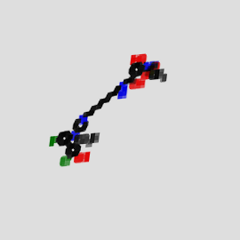 CS(=O)(=O)Nc1cc([C@@H](O)CNCCCCCCCCCN2CCC(N(C(=O)O)c3ccc(F)cc3-c3ccc(O)c(Cl)c3)CC2)ccc1O